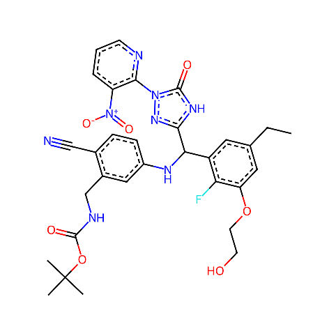 CCc1cc(OCCO)c(F)c(C(Nc2ccc(C#N)c(CNC(=O)OC(C)(C)C)c2)c2nn(-c3ncccc3[N+](=O)[O-])c(=O)[nH]2)c1